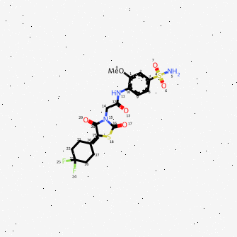 COc1cc(S(N)(=O)=O)ccc1NC(=O)CN1C(=O)SC(=C2CCC(F)(F)CC2)C1=O